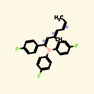 C\C=C/C=C(C)/C=C(\B(c1ccc(F)cc1)c1ccc(F)cc1)c1ccc(F)cc1